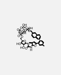 Cc1cccc(C2=CC3=CN([C@@H]4O[C@H](COP(=O)(O)OP(=O)(O)OP(=O)(O)OP(=O)(O)OCc5ccc6ccccc6c5)C(O)[C@@H]4O)C(=O)NC3O2)c1